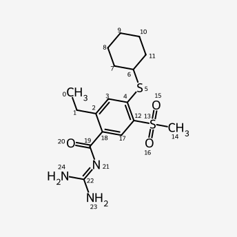 CCc1cc(SC2CCCCC2)c(S(C)(=O)=O)cc1C(=O)N=C(N)N